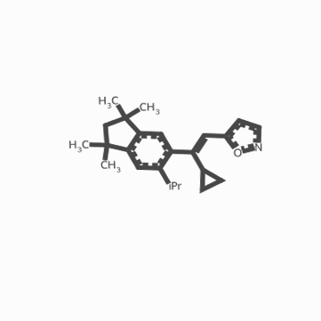 CC(C)c1cc2c(cc1C(=Cc1ccno1)C1CC1)C(C)(C)CC2(C)C